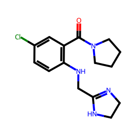 O=C(c1cc(Cl)ccc1NCC1=NCCN1)N1CCCC1